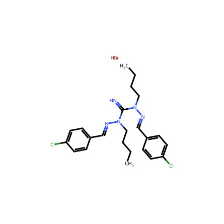 Br.CCCCN(N=Cc1ccc(Cl)cc1)C(=N)N(CCCC)N=Cc1ccc(Cl)cc1